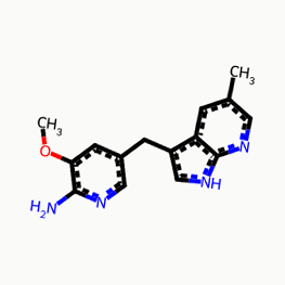 COc1cc(Cc2c[nH]c3ncc(C)cc23)cnc1N